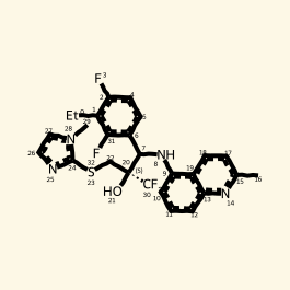 CCc1c(F)ccc(C(Nc2cccc3nc(C)ccc23)[C@@](O)(CSc2nccn2C)C(F)(F)F)c1F